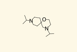 CC(C)N1CCC2(CC1)CN(C(C)C)CCO2